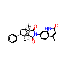 Cc1cc(=O)[nH]c2cc(N3C(=O)[C@@H]4[C@H]5C[C@@H]([C@@H]4C3=O)[C@H](c3ccccc3)C5)ccc12